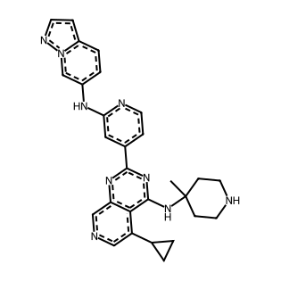 CC1(Nc2nc(-c3ccnc(Nc4ccc5ccnn5c4)c3)nc3cncc(C4CC4)c23)CCNCC1